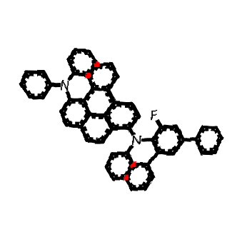 Fc1cc(-c2ccccc2)cc(-c2ccccc2)c1N(c1ccccc1)c1ccc2c3ccccc3c3c(N(c4ccccc4)c4ccccc4)ccc4ccc1c2c43